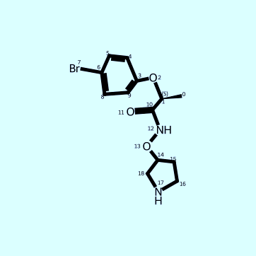 C[C@H](Oc1ccc(Br)cc1)C(=O)NOC1CCNC1